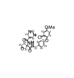 COc1ccc(Oc2ccc(CNC(=O)C3(NC(=O)c4cncnc4)CCOC3)cc2)c(Cl)c1